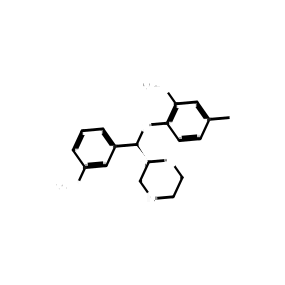 COc1cccc(C(Oc2ccc(C)cc2OC)[C@@H]2CNCCO2)c1